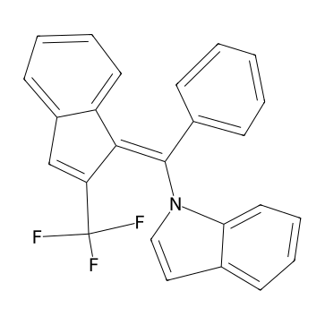 FC(F)(F)C1=Cc2ccccc2C1=C(c1ccccc1)n1ccc2ccccc21